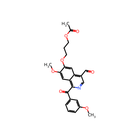 COc1cccc(C(=O)c2ncc(C=O)c3cc(OCCCOC(C)=O)c(OC)cc23)c1